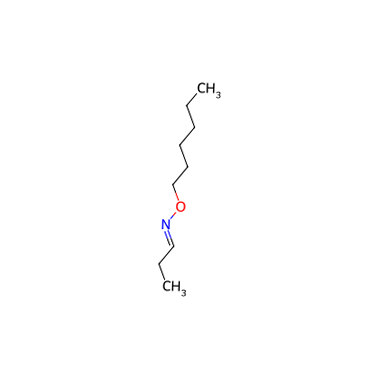 CCC=NOCCCCCC